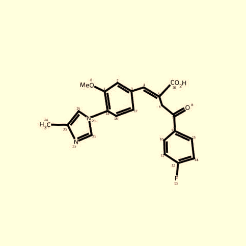 COc1cc(/C=C(\CC(=O)c2ccc(F)cc2)C(=O)O)ccc1-n1cnc(C)c1